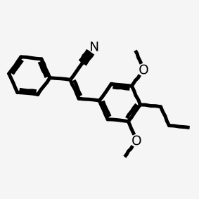 CCCc1c(OC)cc(C=C(C#N)c2ccccc2)cc1OC